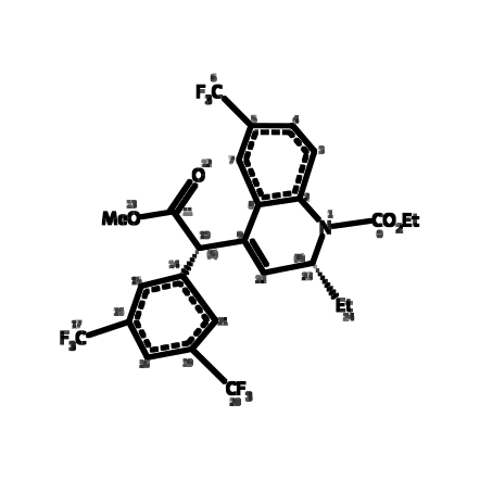 CCOC(=O)N1c2ccc(C(F)(F)F)cc2C([C@@H](C(=O)OC)c2cc(C(F)(F)F)cc(C(F)(F)F)c2)=C[C@H]1CC